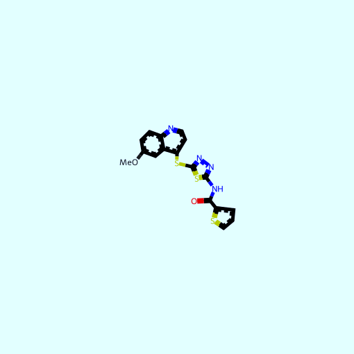 COc1ccc2nccc(Sc3nnc(NC(=O)c4cccs4)s3)c2c1